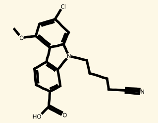 COc1cc(Cl)cc2c1c1ccc(C(=O)O)cc1n2CCCCC#N